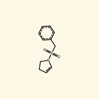 O=S(=O)(Cc1ccccc1)N1C=CCC1